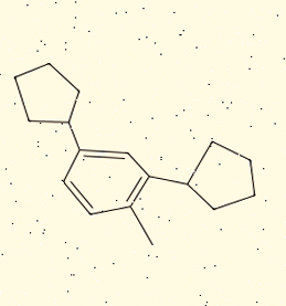 Cc1ccc(C2CCCC2)cc1C1CCCC1